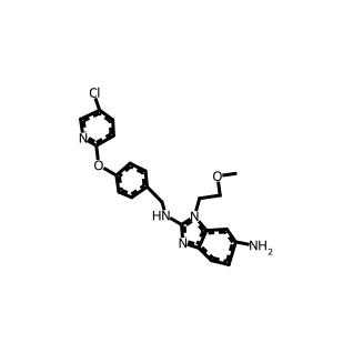 COCCn1c(NCc2ccc(Oc3ccc(Cl)cn3)cc2)nc2ccc(N)cc21